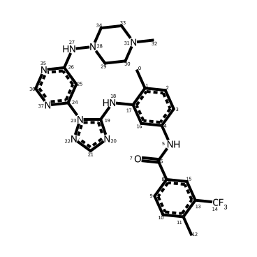 Cc1ccc(NC(=O)c2ccc(C)c(C(F)(F)F)c2)cc1Nc1ncnn1-c1cc(NN2CCN(C)CC2)ncn1